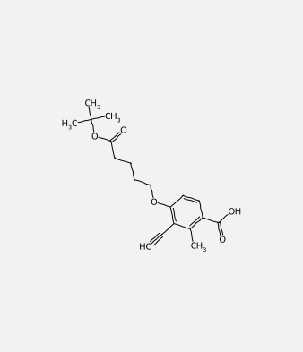 C#Cc1c(OCCCCC(=O)OC(C)(C)C)ccc(C(=O)O)c1C